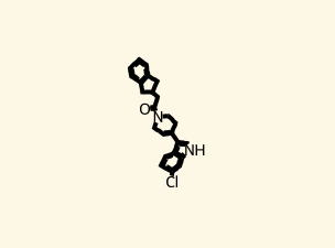 O=C(CC1Cc2ccccc2C1)N1CC=C(c2c[nH]c3cc(Cl)ccc23)CC1